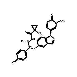 CC(C)[C@H](NC(=O)C1(C(F)(F)F)CC1)[C@H](Oc1ccc2c(cnn2-c2ccc(=O)n(C)c2)c1)c1ccc(Cl)cc1